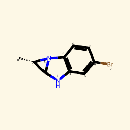 C[C@H]1C2Nc3cc(Br)ccc3N21